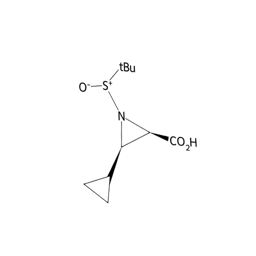 CC(C)(C)[S+]([O-])N1[C@H](C2CC2)[C@@H]1C(=O)O